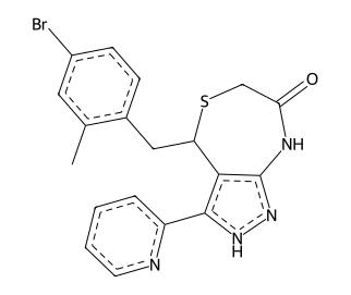 Cc1cc(Br)ccc1CC1SCC(=O)Nc2n[nH]c(-c3ccccn3)c21